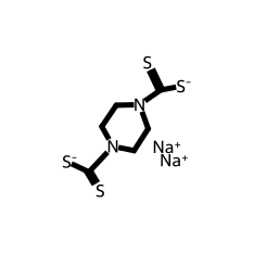 S=C([S-])N1CCN(C(=S)[S-])CC1.[Na+].[Na+]